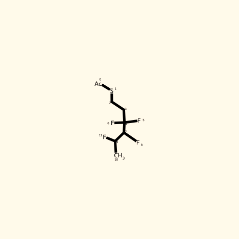 CC(=O)SCCC(F)(F)C(F)C(C)F